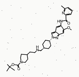 COc1cc2nn([C@H]3CC[C@H](CNCCC4CCN(C(=O)OC(C)(C)C)CC4)CC3)cc2cc1NC(=O)c1cccc(C)n1